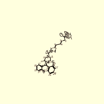 O=C(CCCCCCNC(=O)N1CCN(C(c2ccccc2F)c2ccccc2F)CC1)NO